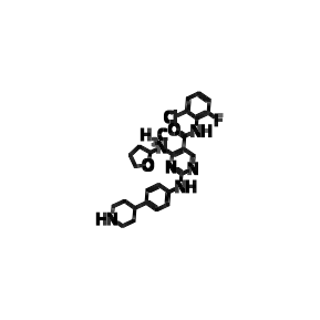 CN(c1nc(Nc2ccc(C3CCNCC3)cc2)ncc1C(=O)Nc1c(F)cccc1Cl)C1CCCO1